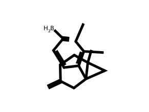 BC(=C)/C=C\C(=C(\C)CC)C12CC(=C)CCC1(C)C2